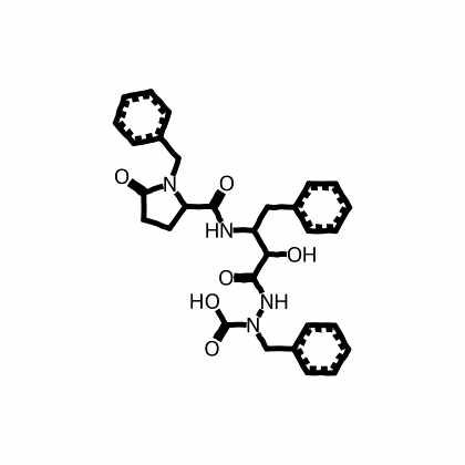 O=C(NN(Cc1ccccc1)C(=O)O)C(O)C(Cc1ccccc1)NC(=O)C1CCC(=O)N1Cc1ccccc1